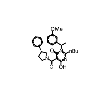 CCCCc1nc(O)c(C(=O)N2CC[C@@H](c3ccccc3)C2)c(=O)n1C(C)c1cccc(OC)c1